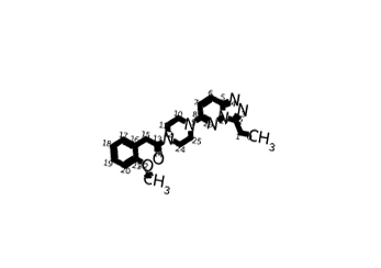 CCc1nnc2ccc(N3CCN(C(=O)Cc4ccccc4OC)CC3)nn12